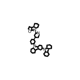 c1cc(-c2ccnc(-n3c4ccccc4c4ccoc43)c2)cc(-n2c3ccccc3c3cc(-n4c5ccccc5c5ccccc54)ccc32)c1